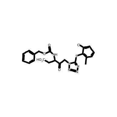 Cc1cccc(Cl)c1Sc1nnnn1CC(=O)C(CC(=O)O)NC(=O)OCc1ccccc1